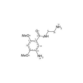 COc1cc(OC)c(C(=O)NCCN)cc1N